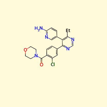 CCc1ncnc(-c2ccc(C(=O)N3CCOCC3)c(Cl)c2)c1-c1ccc(N)nc1